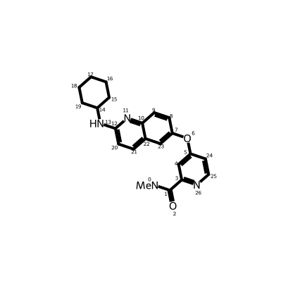 CNC(=O)c1cc(Oc2ccc3nc(NC4CCCCC4)ccc3c2)ccn1